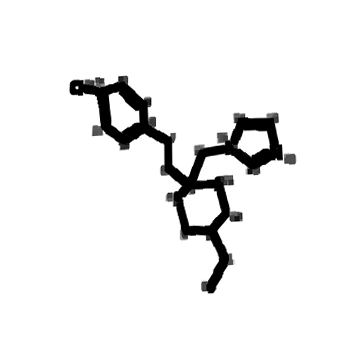 CCC1CSC(CCc2ccc(Cl)cc2)(Cn2ccnc2)SC1